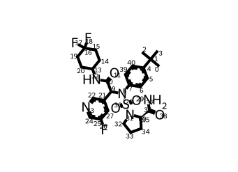 CC(C)(C)c1ccc(N(C(C(=O)NC2CCC(F)(F)CC2)c2cncc(F)c2)S(=O)(=O)N2CCC[C@@H]2C(N)=O)cc1